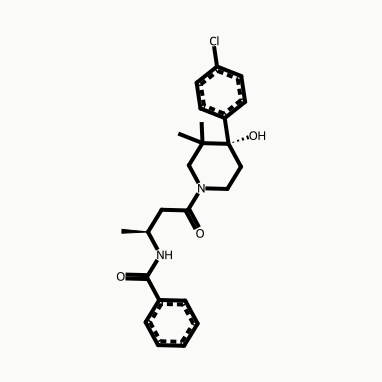 C[C@@H](CC(=O)N1CC[C@](O)(c2ccc(Cl)cc2)C(C)(C)C1)NC(=O)c1ccccc1